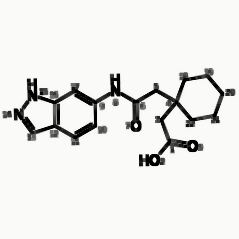 O=C(O)CC1(CC(=O)Nc2ccc3cn[nH]c3c2)CCCCC1